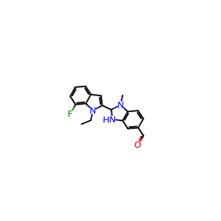 CCn1c(C2Nc3cc(C=O)ccc3N2C)cc2cccc(F)c21